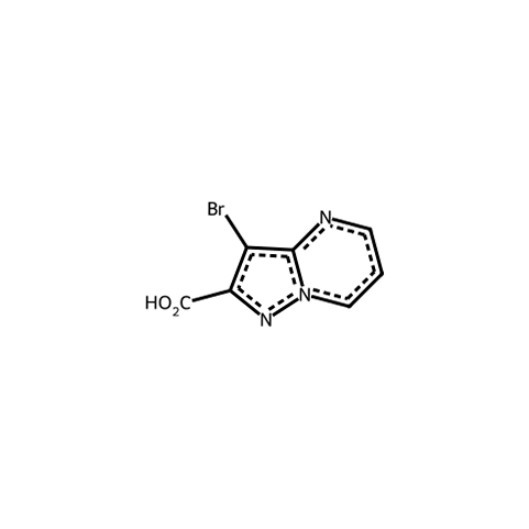 O=C(O)c1nn2cccnc2c1Br